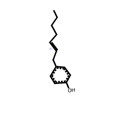 CCCC/C=C/Cc1ccc(O)cc1